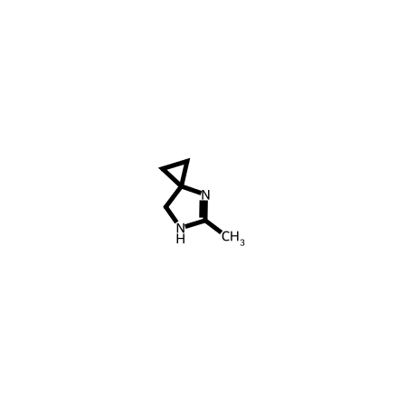 CC1=NC2(CC2)CN1